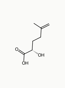 C=C(C)CC[C@H](O)C(=O)O